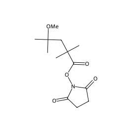 COC(C)(C)CC(C)(C)C(=O)ON1C(=O)CCC1=O